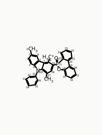 Cc1ccc2c(c1)c1c(C)c(P3(=O)Oc4ccccc4-c4ccccc43)cc(C)c1n2-c1ccccc1